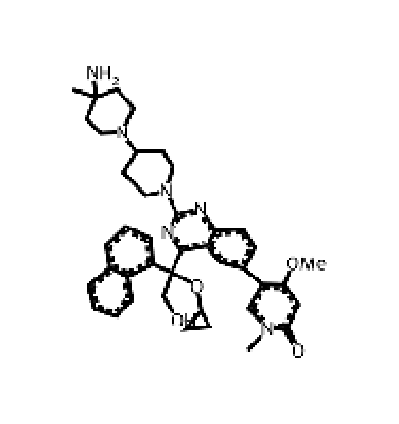 COc1cc(=O)n(C)cc1-c1ccc2nc(N3CCC(N4CCC(C)(N)CC4)CC3)nc(C(CO)(OC3CC3)c3cccc4ccccc34)c2c1